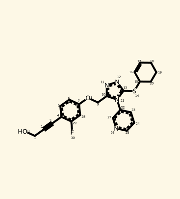 OCC#Cc1ccc(OCc2nnc(SC3C=CCCC3)n2-c2cccnc2)cc1F